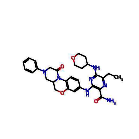 CCc1nc(C(N)=O)c(Nc2ccc3c(c2)OCC2CN(c4ccccc4)CC(=O)N32)nc1NC1CCOCC1